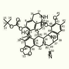 COc1cc2c(cc1OC(=O)OC(C)(C)C)CCN[C@]2(C)CS[C@@H]1c2c(O)c(C)c3c(c2CN2C1C1NC(Cc4cc(C)c(OC)c(O)c41)[C@@H]2C#N)OCO3